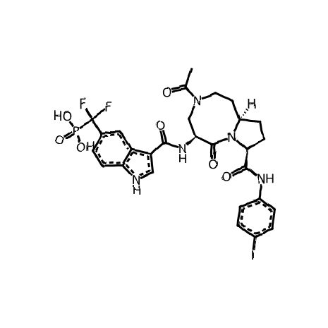 CC(=O)N1CC[C@H]2CC[C@@H](C(=O)Nc3ccc(I)cc3)N2C(=O)[C@@H](NC(=O)c2c[nH]c3ccc(C(F)(F)P(=O)(O)O)cc23)C1